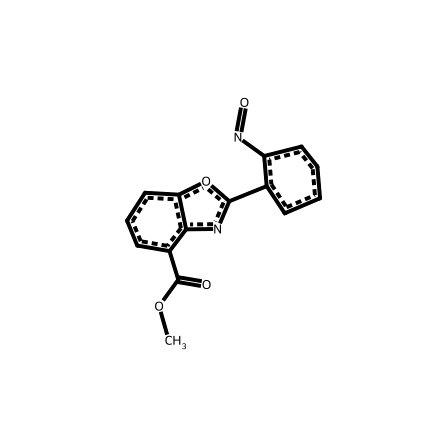 COC(=O)c1cccc2oc(-c3ccccc3N=O)nc12